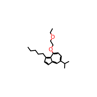 CCCCCc1ccc2cc(C(C)C)ccc(OCCOCC)c1-2